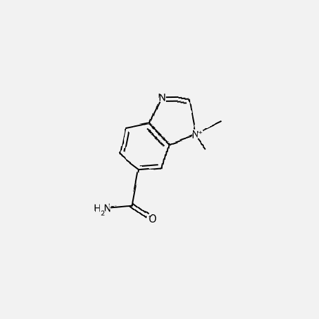 C[N+]1(C)C=Nc2ccc(C(N)=O)cc21